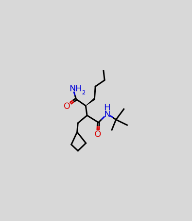 CCCC[C@H](C(N)=O)C(CC1CCC1)C(=O)NC(C)(C)C